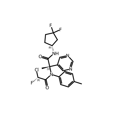 Cc1ccc(N(C(=O)[C@H](F)Cl)[C@](C)(C(=O)N[C@@H]2CCC(F)(F)C2)c2cncnc2)cc1